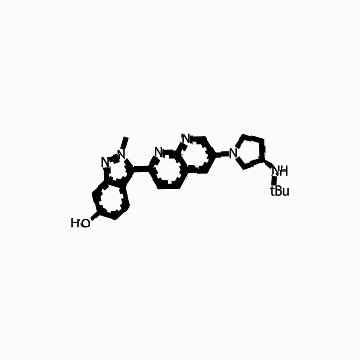 Cn1nc2cc(O)ccc2c1-c1ccc2cc(N3CC[C@@H](NC(C)(C)C)C3)cnc2n1